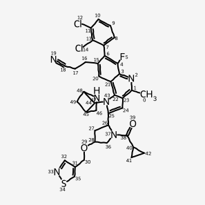 Cc1nc2c(F)c(-c3cccc(Cl)c3Cl)c(CCC#N)cc2c2c1cc(C1CC(OCc3cnsc3)CN1C(=O)C1CC1)n2C1C2CNC1C2